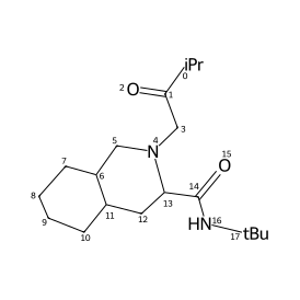 CC(C)C(=O)CN1CC2CCCCC2CC1C(=O)NC(C)(C)C